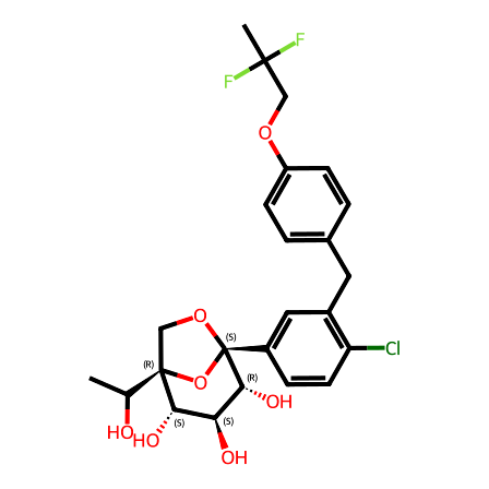 CC(O)[C@@]12CO[C@@](c3ccc(Cl)c(Cc4ccc(OCC(C)(F)F)cc4)c3)(O1)[C@H](O)[C@@H](O)[C@@H]2O